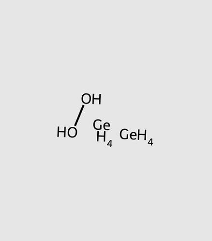 OO.[GeH4].[GeH4]